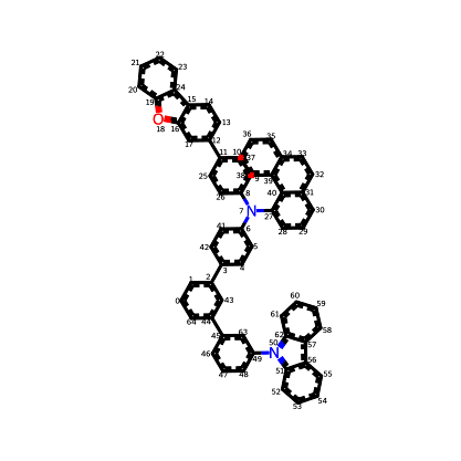 c1cc(-c2ccc(N(c3ccc(-c4ccc5c(c4)oc4ccccc45)cc3)c3cccc4ccc5ccccc5c34)cc2)cc(-c2cccc(-n3c4ccccc4c4ccccc43)c2)c1